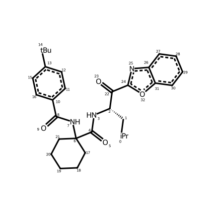 CC(C)C[C@H](NC(=O)C1(NC(=O)c2ccc(C(C)(C)C)cc2)CCCCC1)C(=O)c1nc2ccccc2o1